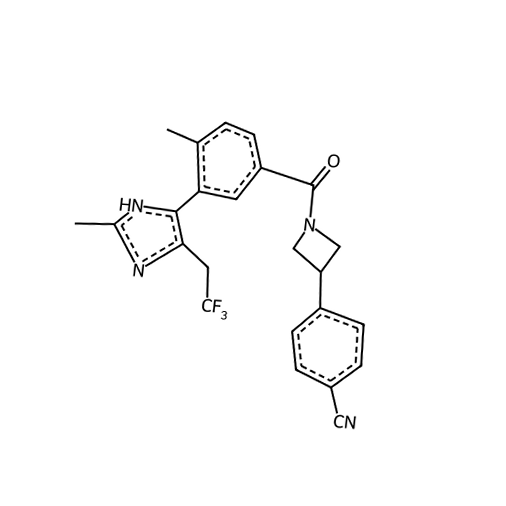 Cc1nc(CC(F)(F)F)c(-c2cc(C(=O)N3CC(c4ccc(C#N)cc4)C3)ccc2C)[nH]1